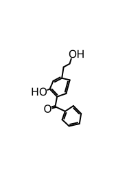 O=C(c1ccccc1)c1ccc(CCO)cc1O